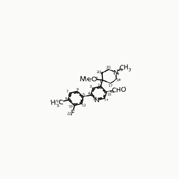 COC1(c2cc(-c3ccc(C)c(F)c3)ncc2C=O)CCN(C)CC1